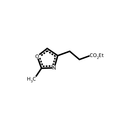 CCOC(=O)CCc1coc(C)n1